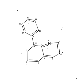 C1=Cc2cccnc2N(c2ccccc2)C1